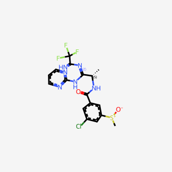 C[C@H](NC(=O)c1cc(Cl)cc([S+](C)[O-])c1)/C(=N/C(=N)C(F)(F)F)Nc1ncccn1